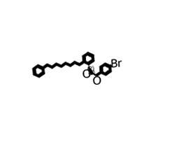 O=C(c1ccc(Br)cc1)[C@H]1O[C@@H]1c1ccccc1CCCCCCCCc1ccccc1